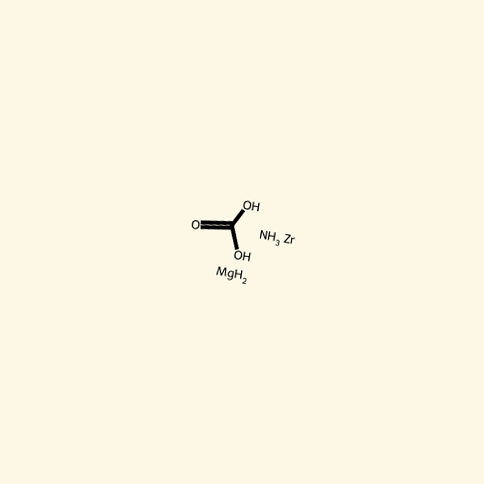 N.O=C(O)O.[MgH2].[Zr]